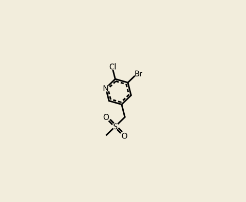 CS(=O)(=O)Cc1cnc(Cl)c(Br)c1